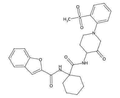 CS(=O)(=O)c1ccccc1N1CCC(NC(=O)C2(NC(=O)c3cc4ccccc4o3)CCCCC2)C(=O)C1